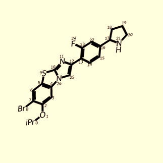 CC(C)Oc1cc2c(cc1Br)sc1nc(-c3ccc(C4CCCN4)cc3F)cn12